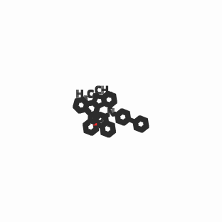 CC1(C)c2cccc(N(c3ccc(-c4ccccc4)cc3)c3cccc4ccccc34)c2-c2c1c1ccccc1c1c2oc2ccccc21